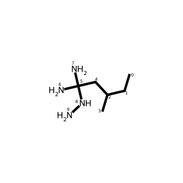 CCC(C)CC(N)(N)NN